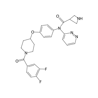 O=C(c1ccc(F)c(F)c1)N1CCC(Oc2ccc(N(C(=O)C3CNC3)c3cccnn3)cc2)CC1